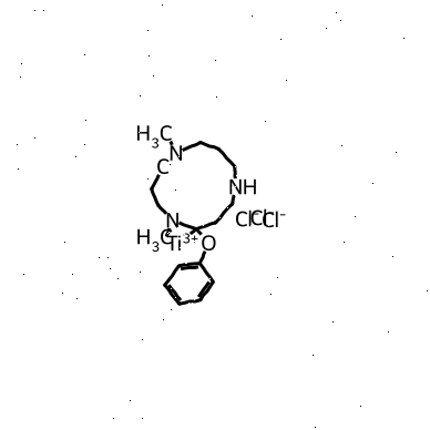 CN1CCCNCC[C]([Ti+3])(Oc2ccccc2)N(C)CCC1.[Cl-].[Cl-].[Cl-]